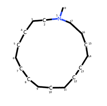 CN1CCCCCCCCCCCCCCCC1